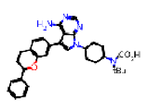 CC(C)(C)N(C(=O)O)[C@H]1CC[C@@H](n2cc(-c3ccc4c(c3)OC(c3ccccc3)CC4)c3c(N)ncnc32)CC1